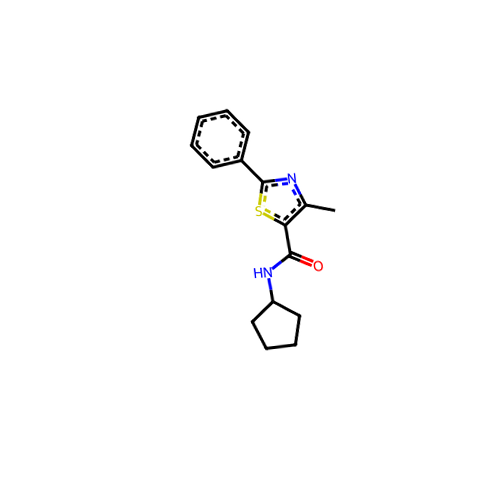 Cc1nc(-c2ccccc2)sc1C(=O)NC1CCCC1